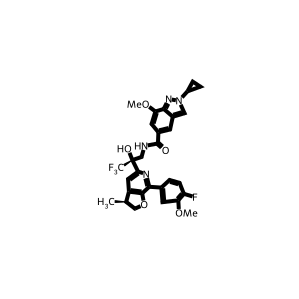 COc1cc(-c2nc([C@](O)(CNC(=O)c3cc(OC)c4nn(C5CC5)cc4c3)C(F)(F)F)cc3c2OC[C@H]3C)ccc1F